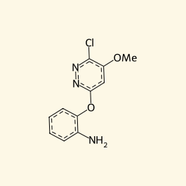 COc1cc(Oc2ccccc2N)nnc1Cl